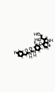 O=C(Cc1ccc(F)cc1)NC(=O)Nc1ccc(Oc2ccnc3[nH]cc(C(O)CO)c23)c(F)c1